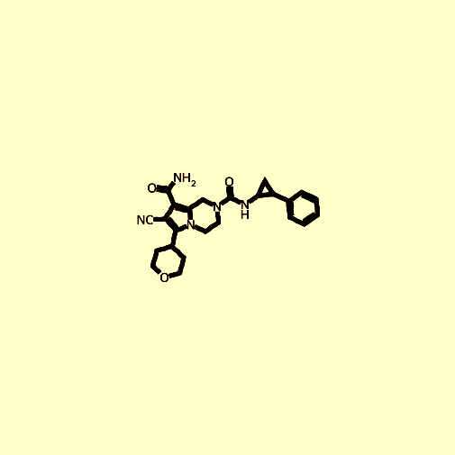 N#Cc1c(C(N)=O)c2n(c1C1CCOCC1)CCN(C(=O)NC1CC1c1ccccc1)C2